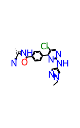 CCn1cc(Nc2ncc(Cl)c(-c3ccc(C(=O)N[C@@H](C)C#N)cc3)n2)cn1